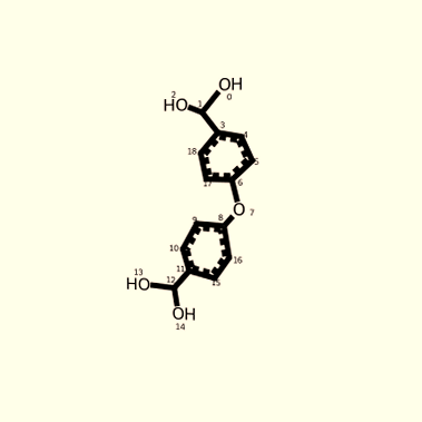 OC(O)c1ccc(Oc2ccc(C(O)O)cc2)cc1